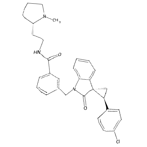 CN1CCC[C@H]1CCNC(=O)c1cccc(CN2C(=O)[C@@]3(C[C@H]3c3ccc(Cl)cc3)c3ccccc32)c1